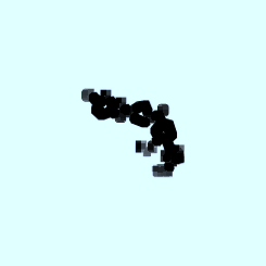 Cc1cc(C(=O)N2CCN(c3nc4nc(Cl)ccc4o3)CC2)ccc1-c1ncn(C(C)(C)C)n1